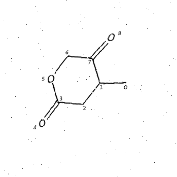 CC1CC(=O)OCC1=O